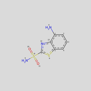 Nc1cccc2sc(S(N)(=O)=O)nc12